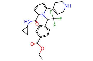 CCOC(=O)c1ccc(C(N2C(C3=CCNCC3)=CC=CC2C(=O)NC2CC2)C(F)(F)F)cc1